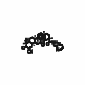 CC1(C)C(=O)C(C#N)=C[C@]2(C)C3=CC(=O)[C@]4(O)[C@@H]5C[C@@](C)(C(=O)NCc6ncccn6)CC[C@]5(C)CC[C@@]4(C)[C@]3(C)CC[C@@H]12